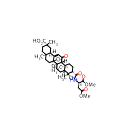 COC(=O)C[C@@H](NC(=O)[C@H]1CC[C@]2(C)[C@H]3C(=O)C=C4[C@@H]5C[C@@](C)(C(=O)O)CC[C@]5(C)CC[C@@]4(C)[C@]3(C)CC[C@H]2C1(C)C)C(=O)OC